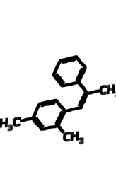 CC(=Cc1ccc(C)cc1C)c1ccccc1